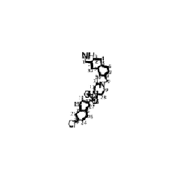 NCc1ccc2ccc(CN3CCN(S(=O)(=O)c4ccc5cc(Cl)ccc5c4)CC3)cc2c1